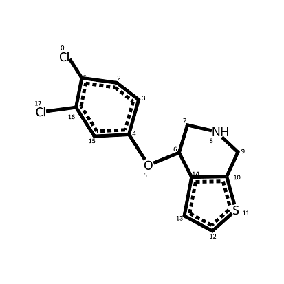 Clc1ccc(OC2CNCc3sccc32)cc1Cl